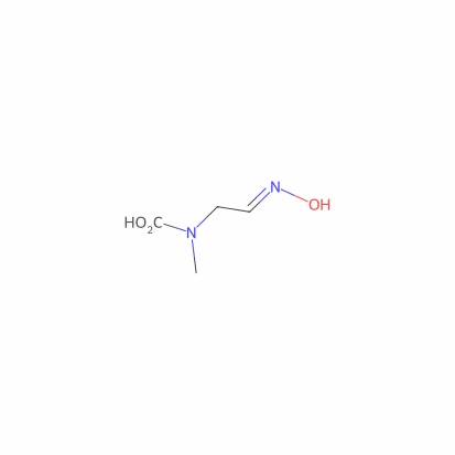 CN(CC=NO)C(=O)O